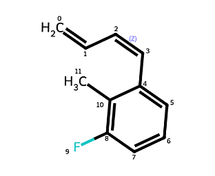 C=C/C=C\c1cccc(F)c1C